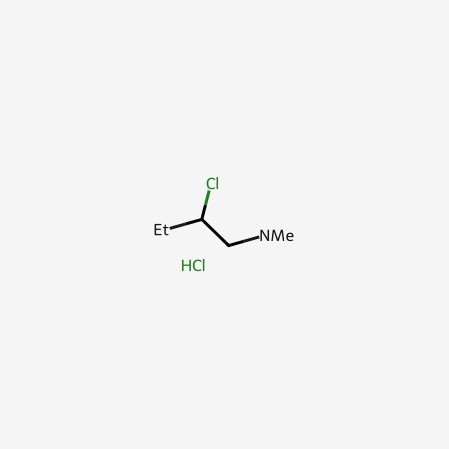 CCC(Cl)CNC.Cl